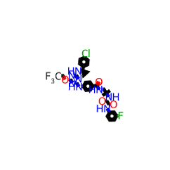 CC(C)(CNC(=O)c1ccc(Nc2nc(NC3(c4ccc(Cl)cc4)CC3)nc(OCC(F)(F)F)n2)cc1)NC(=O)C(=O)Nc1cccc(F)c1